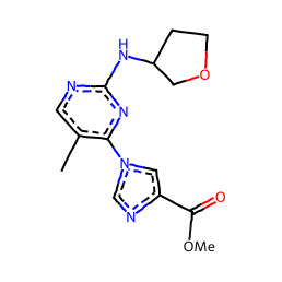 COC(=O)c1cn(-c2nc(NC3CCOC3)ncc2C)cn1